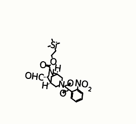 C[Si](C)(C)CCOC(=O)N1[C@@H]2C[C@@H](CN(S(=O)(=O)c3ccccc3[N+](=O)[O-])C2)[C@@H]1C=O